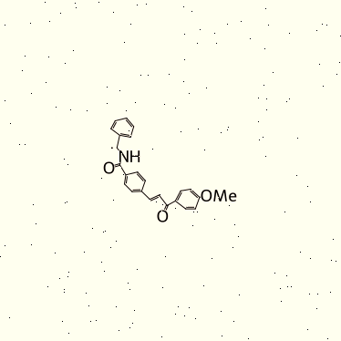 COc1ccc(C(=O)C=Cc2ccc(C(=O)N[CH]c3ccccc3)cc2)cc1